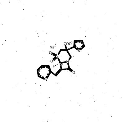 O=C1C(=Cc2ccccn2)[C@@H]2N1CC(C(=O)[O-])(c1cccs1)CS2(=O)=O.[Na+]